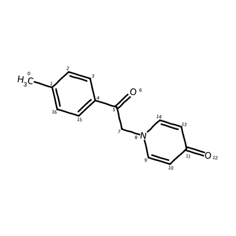 Cc1ccc(C(=O)Cn2ccc(=O)cc2)cc1